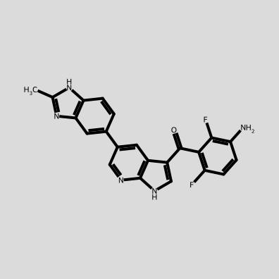 Cc1nc2cc(-c3cnc4[nH]cc(C(=O)c5c(F)ccc(N)c5F)c4c3)ccc2[nH]1